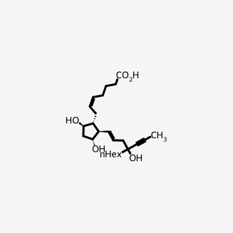 CC#CC(O)(C/C=C/[C@@H]1[C@@H](C/C=C\CCCC(=O)O)[C@H](O)C[C@H]1O)CCCCCC